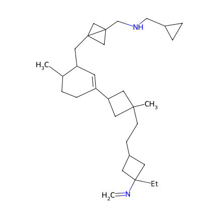 C=NC1(CC)CC(CCC2(C)CC(C3=CC(CC45CC4(CNCC4CC4)C5)C(C)CC3)C2)C1